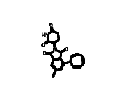 O=C1CCC(N2C(=O)c3cc(F)cc(N4C=CC=CC=C4)c3C2=O)C(=O)N1